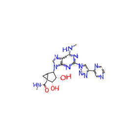 CNC(=O)C12CC1[C@@H](n1cnc3c(NC)nc(-n4cc(-c5cnccn5)nn4)nc31)[C@H](O)[C@@H]2O